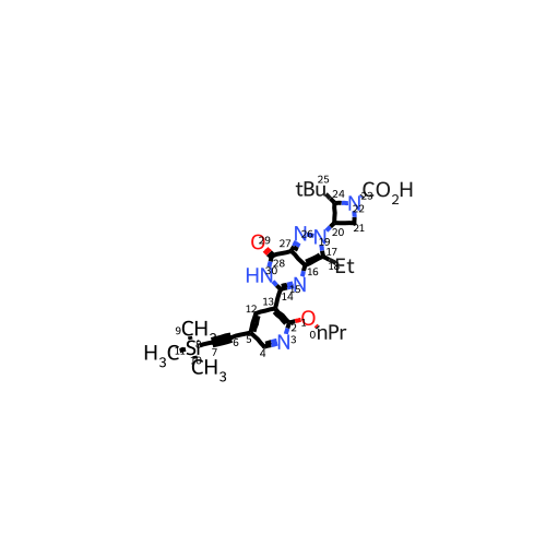 CCCOc1ncc(C#C[Si](C)(C)C)cc1-c1nc2c(CC)n(C3CN(C(=O)O)C3C(C)(C)C)nc2c(=O)[nH]1